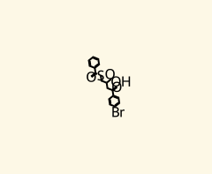 O=C(CC(CSC(=O)c1ccccc1)C(=O)O)c1ccc(Br)cc1